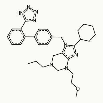 CCCN1Cc2c(nc(C3CCCCC3)n2Cc2ccc(-c3ccccc3-c3nnn[nH]3)cc2)N(CCOC)C1